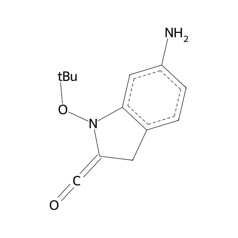 CC(C)(C)ON1C(=C=O)Cc2ccc(N)cc21